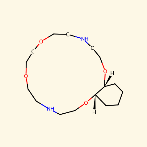 C1CC[C@H]2OCCNCCOCCOCCNCCO[C@H]2C1